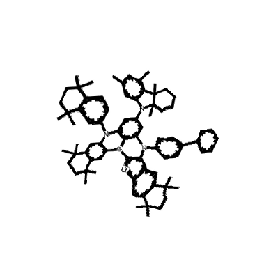 Cc1cc(C)c2c(c1)N(c1cc3c4c(c1)N(c1ccc(-c5ccccc5)cc1)c1c(oc5cc6c(cc15)C(C)(C)CCC6(C)C)B4c1cc4c(cc1N3c1ccc3c(c1)C(C)(C)CCC3(C)C)C(C)(C)CCC4(C)C)C1(C)CCCCC21C